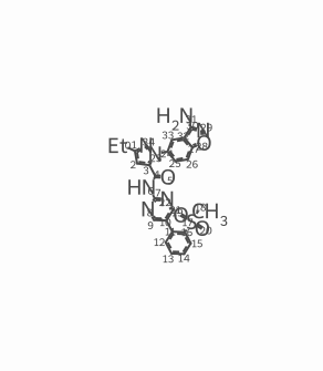 CCc1cc(C(=O)Nc2ncc(-c3ccccc3S(C)(=O)=O)cn2)n(-c2ccc3onc(N)c3c2)n1